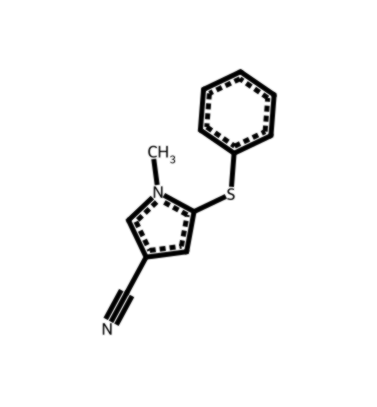 Cn1cc(C#N)cc1Sc1ccccc1